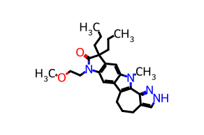 CCCC1(CCC)C(=O)N(CCOC)c2cc3c4c(n(C)c3cc21)-c1n[nH]cc1CCC4